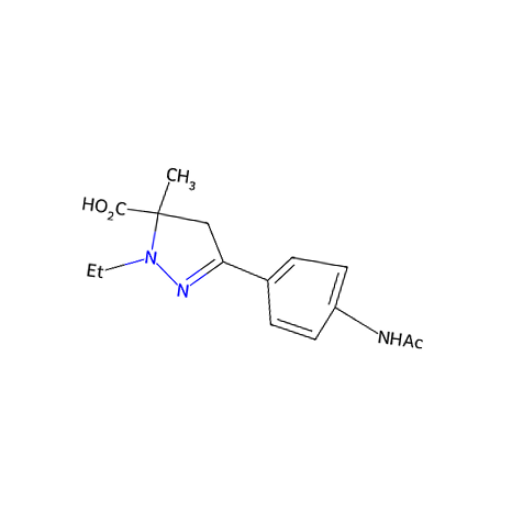 CCN1N=C(c2ccc(NC(C)=O)cc2)CC1(C)C(=O)O